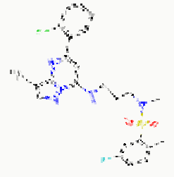 Bc1cnn2c(NCCCN(C)S(=O)(=O)c3cc(F)ccc3C)cc(-c3ccccc3Cl)nc12